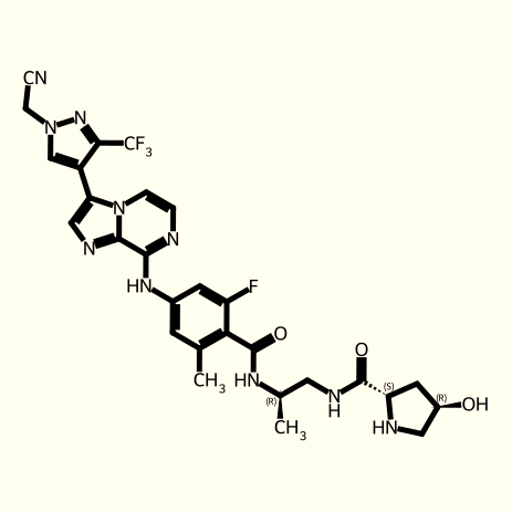 Cc1cc(Nc2nccn3c(-c4cn(CC#N)nc4C(F)(F)F)cnc23)cc(F)c1C(=O)N[C@H](C)CNC(=O)[C@@H]1C[C@@H](O)CN1